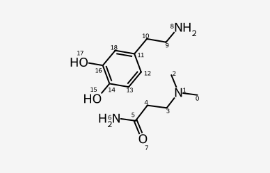 CN(C)CCC(N)=O.NCCc1ccc(O)c(O)c1